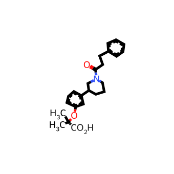 CC(C)(Oc1cccc(C2CCCN(C(=O)CCc3ccccc3)C2)c1)C(=O)O